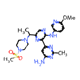 COc1ccc(Nc2ncc(C(C)N3CCN(S(C)(=O)=O)CC3)nc2-c2cc(N)nc(C)n2)cn1